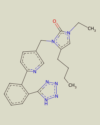 CCCCc1cn(CC)c(=O)n1Cc1ccc(-c2ccccc2-c2nnn[nH]2)nc1